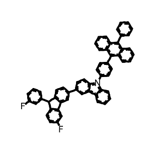 Fc1cccc(C2c3ccc(F)cc3-c3cc(-c4ccc5c(c4)c4ccccc4n5-c4ccc(-c5c6ccccc6c(-c6ccccc6)c6ccccc56)cc4)ccc32)c1